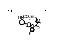 CCOC(=O)NC1CCCCC(N2CCC3(CC2)CN(C(=O)c2cc(C)oc2C)c2ccc(F)cc23)C1